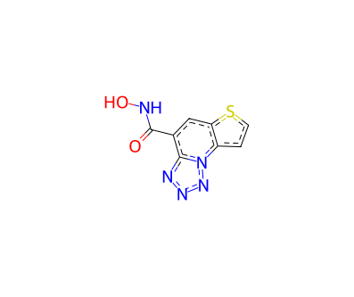 O=C(NO)c1cc2sccc2n2nnnc12